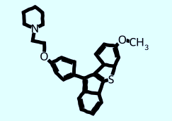 COC1=CC2SC3=C(C(c4ccc(OCCN5CCCCC5)cc4)=C4C=CC=CC43)C2C=C1